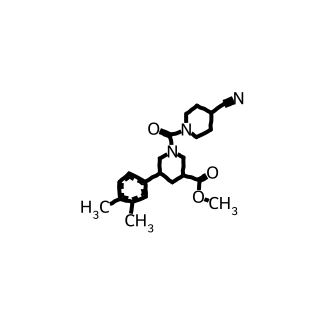 COC(=O)C1CC(c2ccc(C)c(C)c2)CN(C(=O)N2CCC(C#N)CC2)C1